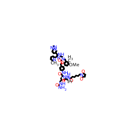 COc1cccc(CN(Cc2nc(-c3cccc(C)n3)c(-c3ccc4ncnn4c3)[nH]2)C(=O)OCc2ccc(NC(=O)[C@H](CCCNC(N)=O)NC(=O)C(NC(=O)CCCCCN3C(=O)C=CC3=O)C(C)C)cc2)c1C